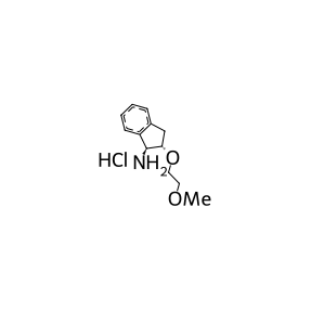 COCCO[C@H]1Cc2ccccc2[C@@H]1N.Cl